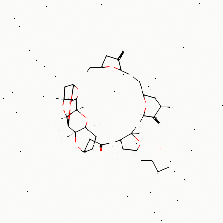 C=C1C[C@@H]2CC[C@@]34C[C@H]5O[C@H]6[C@@H](O3)[C@H]3OC(CC[C@@H]3O[C@H]6[C@H]5O4)CC(=O)C[C@@H]3[C@@H](C)[C@@H](C[C@H](O)CC)O[C@H]3CC3O[C@@H](CCC1O2)C[C@@H](C)C3=C